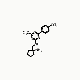 NC1(CNc2nc(-c3ccc(C(Cl)(Cl)Cl)cc3)nc(C(Cl)(Cl)Cl)n2)CCCC1